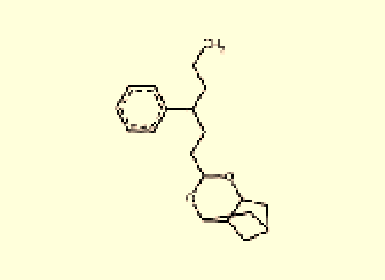 [CH2]CCC(CC[C]1OC2CC3CC(O1)C2C3)c1ccccc1